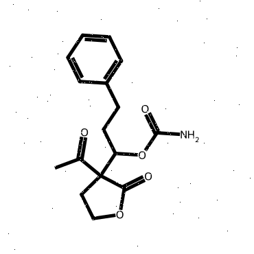 CC(=O)C1(C(CCc2ccccc2)OC(N)=O)CCOC1=O